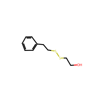 OCCSSCCc1cc[c]cc1